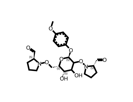 COc1ccc(O[C@@H]2O[C@@H](CON3CCC[C@H]3C=O)[C@@H](O)C(O)C2ON2CCC[C@H]2C=O)cc1